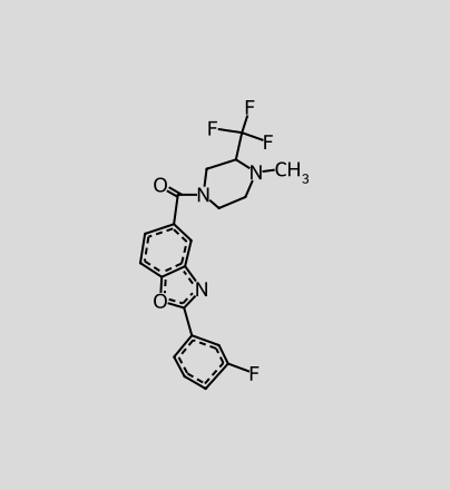 CN1CCN(C(=O)c2ccc3oc(-c4cccc(F)c4)nc3c2)CC1C(F)(F)F